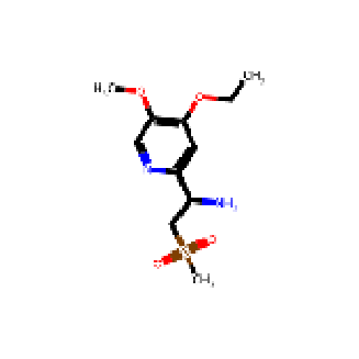 CCOc1cc(C(N)CS(C)(=O)=O)ncc1OC